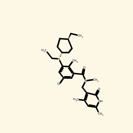 CCN(c1cc(Cl)cc(C(=O)N(C)Cc2c(C)cc(C)[nH]c2=O)c1C)[C@H]1CC[C@H](CC)CC1